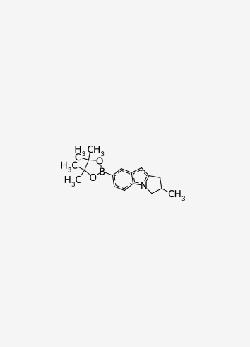 CC1Cc2cc3cc(B4OC(C)(C)C(C)(C)O4)ccc3n2C1